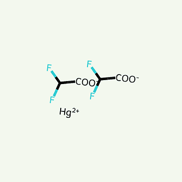 O=C([O-])C(F)F.O=C([O-])C(F)F.[Hg+2]